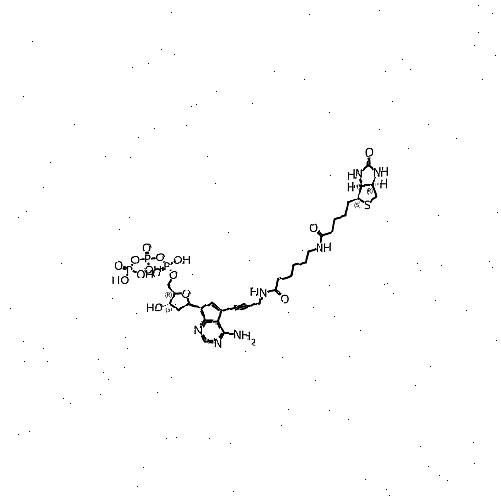 Nc1ncnc2c1C(C#CCNC(=O)CCCCCNC(=O)CCCC[C@@H]1SC[C@@H]3NC(=O)N[C@@H]31)=CC2C1C[C@H](O)[C@@H](COP(=O)(O)OP(=O)(O)OP(=O)(O)O)O1